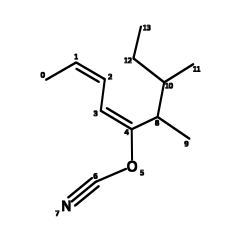 C/C=C\C=C(\OC#N)C(C)C(C)CC